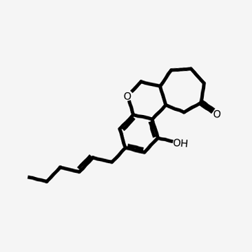 CCC/C=C/Cc1cc(O)c2c(c1)OCC1CCCC(=O)CC21